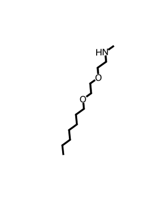 CCCCCCCOCCOCCNC